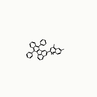 Cc1ccc2nc(-c3cc4c5c(cccc5c3)-c3c-4c(-c4ccccc4)c4ccccc4c3-c3ccccc3)cc(C)c2c1